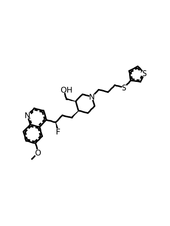 COc1ccc2nccc([C@H](F)CC[C@@H]3CCN(CCCSc4ccsc4)C[C@@H]3CO)c2c1